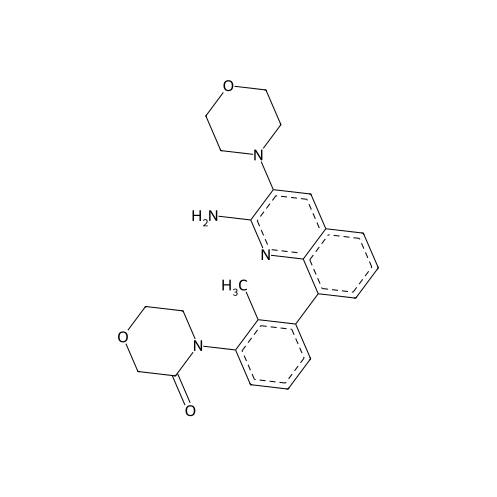 Cc1c(-c2cccc3cc(N4CCOCC4)c(N)nc23)cccc1N1CCOCC1=O